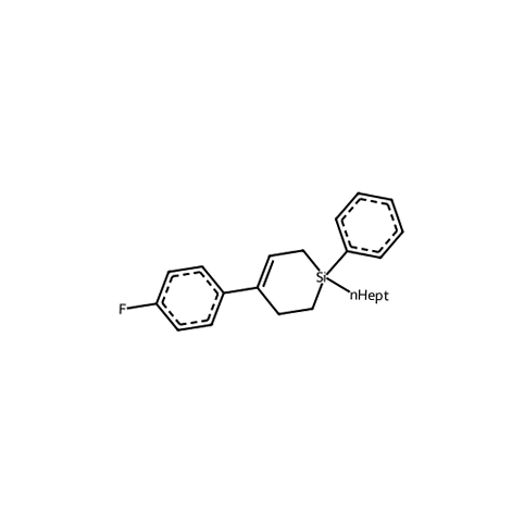 CCCCCCC[Si]1(c2ccccc2)CC=C(c2ccc(F)cc2)CC1